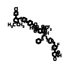 CC1(C)CCC(c2ccc(Cl)cc2)=C(CN2CCN(c3ccc(C(=O)NS(=O)(=O)c4ccc(N[C@H](CCN5CCN(Cc6cnc(C7CCC(=O)NC7=O)cc6F)CC5)CSc5ccccc5)c(S(=O)(=O)C(F)(F)F)c4)cc3)CC2)C1